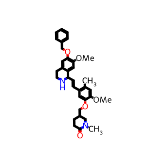 COc1cc2c(cc1OCc1ccccc1)CCNC2/C=C/c1cc(OCC2CCC(=O)N(C)C2)c(OC)cc1C